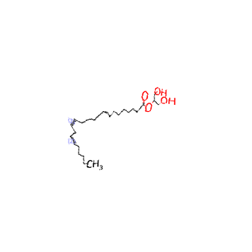 CCCCC/C=C\C/C=C\CCCCCCCCCCCC(=O)OC(CO)CO